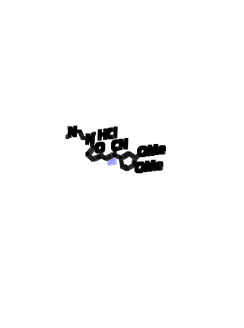 COc1ccc(/C(C#N)=C/c2ccc(N(C)CCN(C)C)o2)cc1OC.Cl